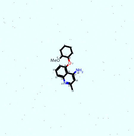 COC1CCCCC1Oc1cccc2nc(C)cc(N)c12